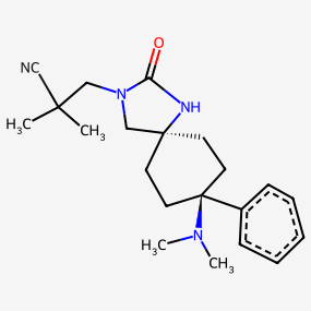 CN(C)[C@]1(c2ccccc2)CC[C@]2(CC1)CN(CC(C)(C)C#N)C(=O)N2